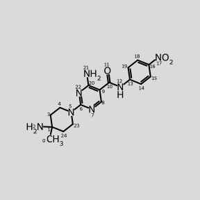 CC1(N)CCN(c2ncc(C(=O)Nc3ccc([N+](=O)[O-])cc3)c(N)n2)CC1